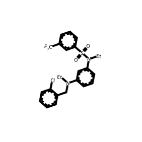 CCN(Cc1ccccc1Cl)c1cccc(N(CC)S(=O)(=O)c2cccc(C(F)(F)F)c2)c1